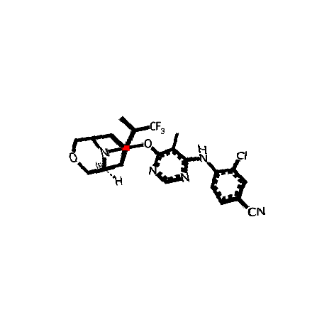 Cc1c(Nc2ccc(C#N)cc2Cl)ncnc1OC1CC2COC[C@H](C1)N2CC(C)C(F)(F)F